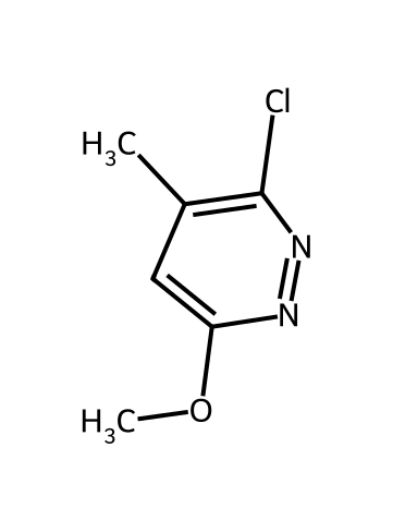 COc1cc(C)c(Cl)nn1